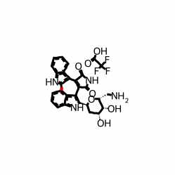 Cc1[nH]c2ccccc2c1C1=C(c2c([C@@H]3C[C@@H](O)[C@@H](O)[C@@H](CN)O3)[nH]c3ccccc23)C(=O)NC1=O.O=C(O)C(F)(F)F